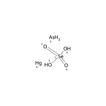 O=[Se](=O)(O)O.[AsH3].[Hg]